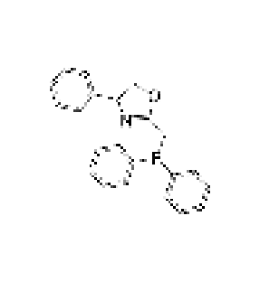 c1ccc(C2COC(CP(c3ccccc3)c3ccccc3)=N2)cc1